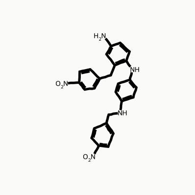 Nc1ccc(Nc2ccc(NCc3ccc([N+](=O)[O-])cc3)cc2)c(Cc2ccc([N+](=O)[O-])cc2)c1